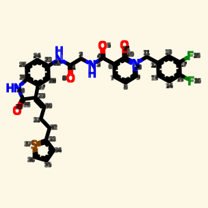 O=C(CNC(=O)c1cccn(Cc2ccc(F)c(F)c2)c1=O)Nc1ccc2c(c1)/C(=C/CCc1cccs1)C(=O)N2